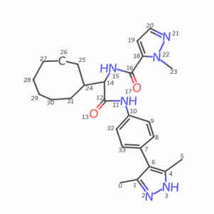 Cc1n[nH]c(C)c1-c1ccc(NC(=O)C(NC(=O)c2ccnn2C)C2CCCCCCC2)cc1